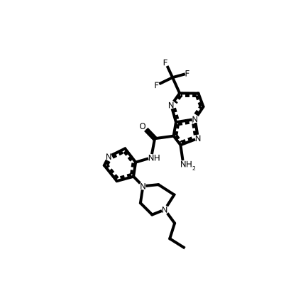 CCCN1CCN(c2ccncc2NC(=O)c2c(N)nn3ccc(C(F)(F)F)nc23)CC1